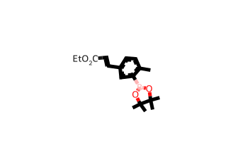 CCOC(=O)/C=C/c1ccc(C)c(B2OC(C)(C)C(C)(C)O2)c1